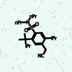 CCCN(CCC)S(=O)(=O)c1cc(C(C)C)c(CC#N)cc1C(C)(C)C(C)C